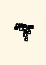 COC(=O)c1ccc(N(c2ccc(Cl)cc2Cl)C2CCNC2=O)cc1